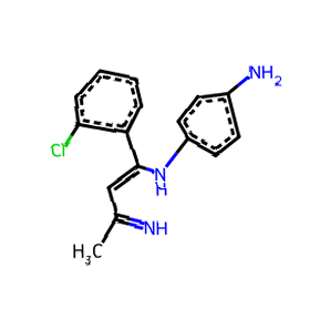 CC(=N)/C=C(\Nc1ccc(N)cc1)c1ccccc1Cl